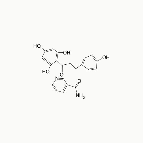 NC(=O)c1cccnc1.O=C(CCc1ccc(O)cc1)c1c(O)cc(O)cc1O